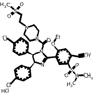 C#Cc1cc(OCC)c(C2=N[C@@H](c3ccc(Cl)cc3)[C@@H](c3ccc(Cl)cc3)N2C(=O)N2CCN(CCS(C)(=O)=O)CC2)cc1S(=O)(=O)N(C)C.Cl